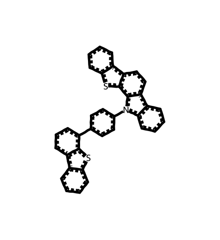 c1ccc2c(c1)sc1c(-c3ccc(-n4c5ccccc5c5ccc6c7ccccc7sc6c54)cc3)cccc12